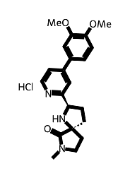 COc1ccc(-c2ccnc([C@H]3CC[C@@]4(CCN(C)C4=O)N3)c2)cc1OC.Cl